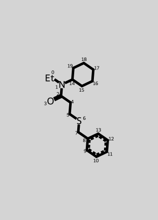 CCN(C(=O)CCSCc1ccccc1)C1CCCCC1